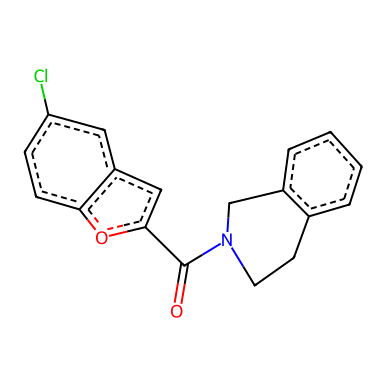 O=C(c1cc2cc(Cl)ccc2o1)N1CCc2ccccc2C1